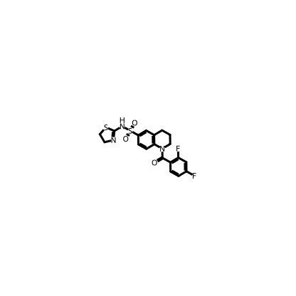 O=C(c1ccc(F)cc1F)N1CCCc2cc(S(=O)(=O)NC3=NCCS3)ccc21